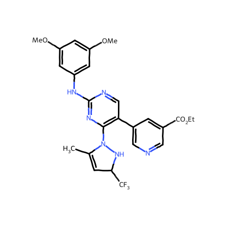 CCOC(=O)c1cncc(-c2cnc(Nc3cc(OC)cc(OC)c3)nc2N2NC(C(F)(F)F)C=C2C)c1